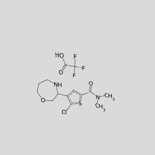 CN(C)C(=O)c1cc(C2COCCCN2)c(Cl)s1.O=C(O)C(F)(F)F